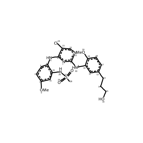 COc1ccc(Nc2nc(Nc3cc(CCCO)ccc3OC)ncc2Cl)c(NS(C)(=O)=O)c1